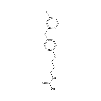 O=C(O)NCCCOc1ccc(Oc2cccc(F)c2)cc1